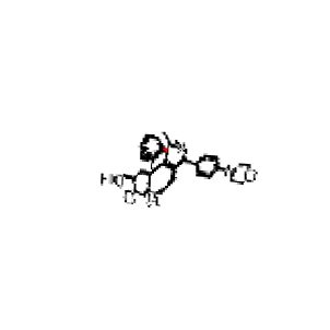 Cc1nc(-c2ccc(N3CCOCC3)cc2)c2c(n1)[C@@]1(c3ccccc3)CC(=CO)C(=O)[C@@H](C)[C@@H]1CC2